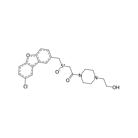 O=C(C[S+]([O-])Cc1ccc2oc3ccc(Cl)cc3c2c1)N1CCN(CCO)CC1